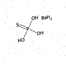 OP(O)(O)=S.[BaH2]